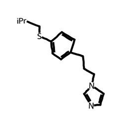 CC(C)CSc1ccc(CCCn2ccnc2)cc1